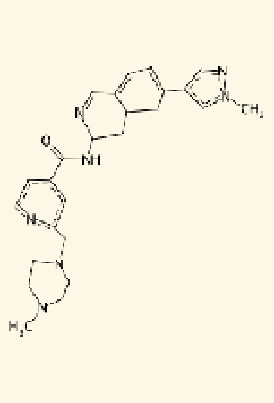 CN1CCN(Cc2cc(C(=O)NC3CC4CC(c5cnn(C)c5)=CC=C4C=N3)ccn2)CC1